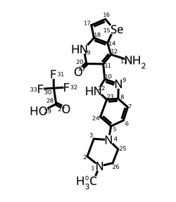 CN1CCN(c2ccc3nc(-c4c(N)c5[se]ccc5[nH]c4=O)[nH]c3c2)CC1.O=C(O)C(F)(F)F